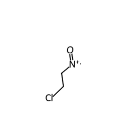 O=[N+]CCCl